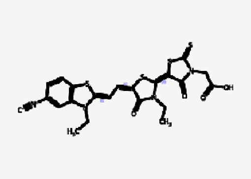 [C-]#[N+]c1ccc2c(c1)N(CC)/C(=C/C=c1/s/c(=C3\SC(=S)N(CC(=O)O)C3=O)n(CC)c1=O)S2